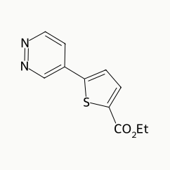 CCOC(=O)c1ccc(-c2ccnnc2)s1